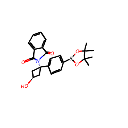 CC1(C)OB(c2ccc([C@]3(N4C(=O)c5ccccc5C4=O)C[C@H](O)C3)cc2)OC1(C)C